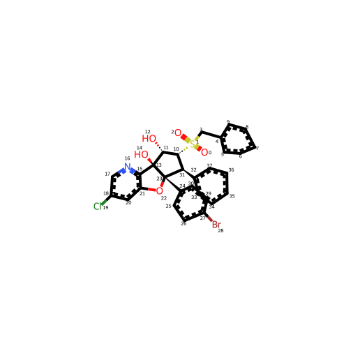 O=S(=O)(Cc1ccccc1)[C@H]1[C@@H](O)[C@@]2(O)c3ncc(Cl)cc3O[C@@]2(c2ccc(Br)cc2)[C@@H]1c1ccccc1